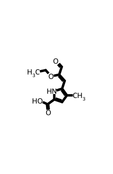 CCOC(C=O)=Cc1[nH]c(C(=O)O)cc1C